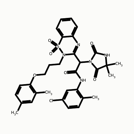 Cc1ccc(OCCCN2C(C(C(=O)Nc3cc(Cl)ccc3C)N3C(=O)NC(C)(C)C3=O)=Nc3ccccc3S2(=O)=O)c(C)c1